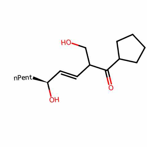 CCCCC[C@H](O)C=CC(CO)C(=O)C1CCCC1